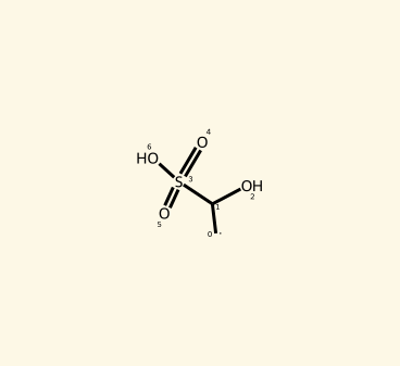 [CH2]C(O)S(=O)(=O)O